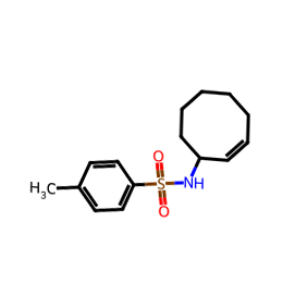 Cc1ccc(S(=O)(=O)NC2/C=C\CCCCC2)cc1